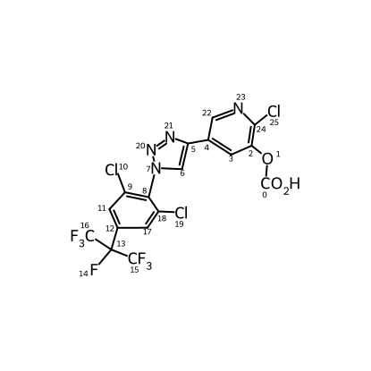 O=C(O)Oc1cc(-c2cn(-c3c(Cl)cc(C(F)(C(F)(F)F)C(F)(F)F)cc3Cl)nn2)cnc1Cl